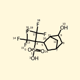 O=S(=O)(O)C(C1CC2CC(O)C1C2)(C(F)(F)F)C(F)(F)F